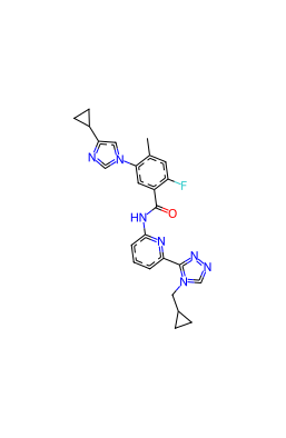 Cc1cc(F)c(C(=O)Nc2cccc(-c3nncn3CC3CC3)n2)cc1-n1cnc(C2CC2)c1